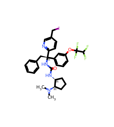 CN(C)[C@@H]1CCC[C@H]1NC(=O)N[C@@](Cc1ccccc1)(c1cccc(OC(F)(F)C(F)F)c1)c1ccc(CI)cn1